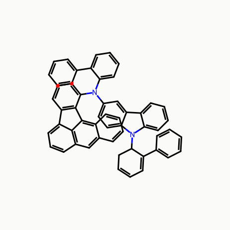 C1=CCC(n2c3ccccc3c3cc(N(c4ccccc4-c4ccccc4)c4cccc5c4-c4c6ccccc6cc6cccc-5c46)ccc32)C(c2ccccc2)=C1